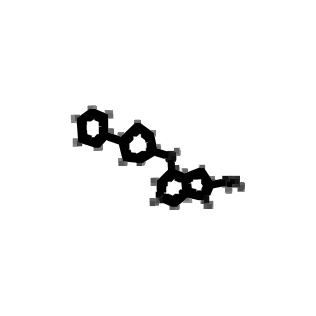 Nc1cc2c(Oc3ccc(-c4ccccc4)cc3)cncc2s1